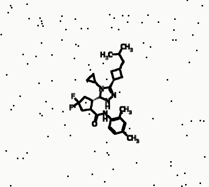 Cc1ccc(NC(=O)C2CC(F)(F)C[C@@H]2C2NN=C([C@H]3C[C@@H](CC(C)C)C3)N2C2CC2)c(C)c1